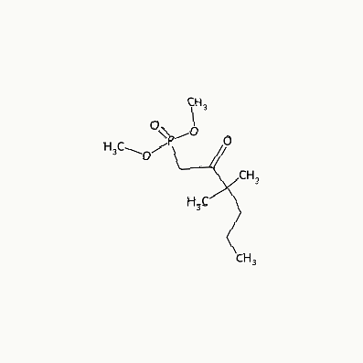 CCCC(C)(C)C(=O)CP(=O)(OC)OC